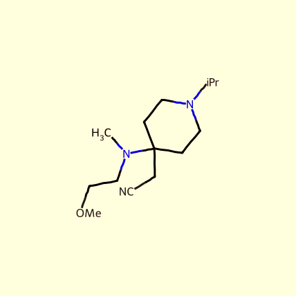 COCCN(C)C1(CC#N)CCN(C(C)C)CC1